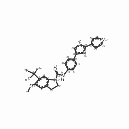 CSc1cc2c(cc1C(F)(F)F)N(C(=O)Nc1ccc(-c3csc(-c4ccncc4)n3)cc1)CC2